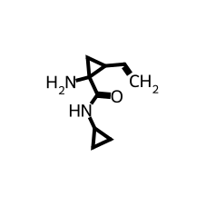 C=CC1CC1(N)C(=O)NC1CC1